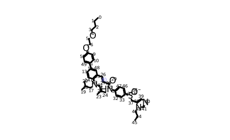 CCCCOCCOc1ccc(-c2ccc(N(CC(C)C)CC(C)C)c(/C=C/C(=O)Nc3ccc([S+]([O-])Cc4cncn4CCC)cc3)c2)cc1